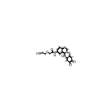 O=C(COCCS)Nc1ccc2ncnc(Nc3cc(Cl)c(Cl)cc3F)c2c1